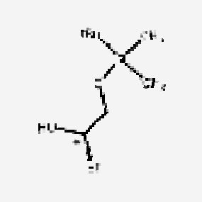 CC[C@@H](O)CO[Si](C)(C)C(C)(C)C